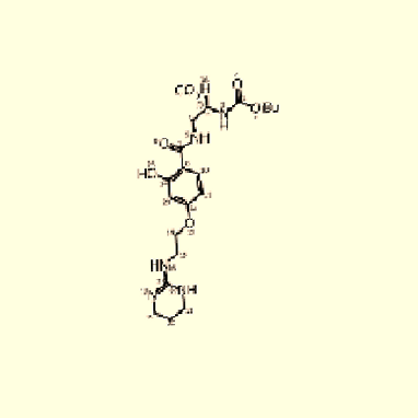 CC(C)COC(=O)N[C@@H](CNC(=O)c1ccc(OCCNC2=NCCCN2)cc1O)C(=O)O